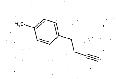 [C]#CCCc1ccc(C)cc1